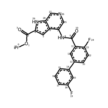 CC(C)OC(=O)c1cc2c(NC(=O)c3cc(-c4cccc(F)c4)ccc3F)cncc2[nH]1